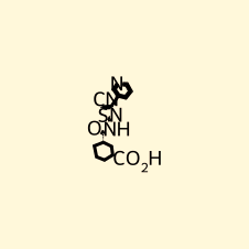 N#Cc1sc(NC(=O)[C@H]2CCC[C@@H](C(=O)O)C2)nc1-c1cccnc1